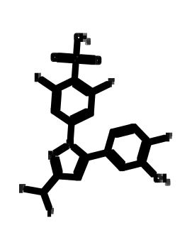 Cc1cc(-c2cc(C(F)F)nn2-c2cc(F)c(S(C)(=O)=O)c(F)c2)ccc1F